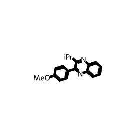 COc1ccc(-c2nc3ccccc3nc2C(C)C)cc1